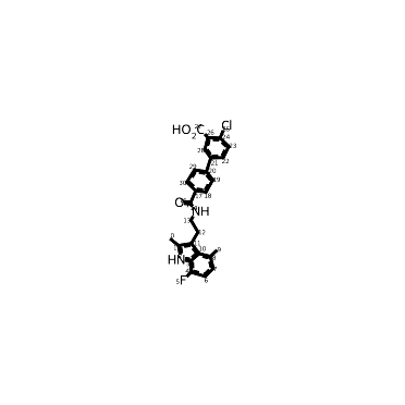 Cc1[nH]c2c(F)ccc(C)c2c1CCNC(=O)c1ccc(-c2ccc(Cl)c(C(=O)O)c2)cc1